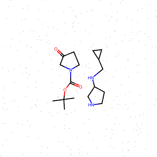 C1CC(NCC2CC2)CN1.CC(C)(C)OC(=O)N1CCC(=O)C1